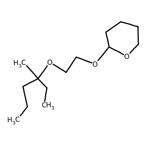 CCCC(C)(CC)OCCOC1CCCCO1